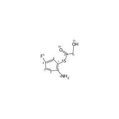 Nc1ccc(F)cc1SC(=O)CO